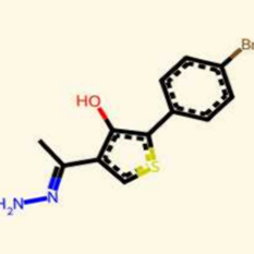 CC(=NN)c1csc(-c2ccc(Br)cc2)c1O